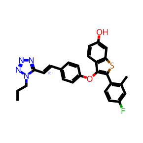 CCCn1nnnc1/C=C/c1ccc(Oc2c(-c3ccc(F)cc3C)sc3cc(O)ccc23)cc1